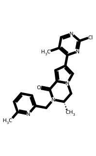 Cc1cccc(CN2C(=O)c3cc(-c4nc(Cl)ncc4C)cn3C[C@@H]2C)n1